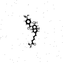 CN(C)C(=O)CCCCC1=C[C@H]2C[C@@H](O)[C@H](C(=O)c3ccc(N(C)C)cc3)[C@H]2C1